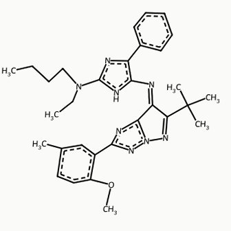 CCCCN(CC)c1nc(-c2ccccc2)c(/N=C2/C(C(C)(C)C)=Nn3nc(-c4cc(C)ccc4OC)nc32)[nH]1